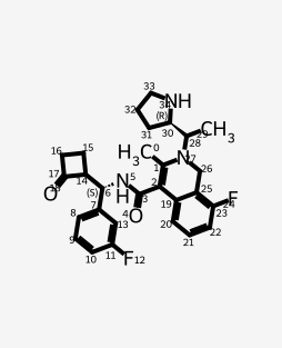 CC1=C(C(=O)N[C@H](c2cccc(F)c2)C2CCC2=O)c2cccc(F)c2CN1C(C)[C@H]1CCCN1